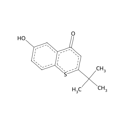 CC(C)(C)c1cc(=O)c2cc(O)ccc2s1